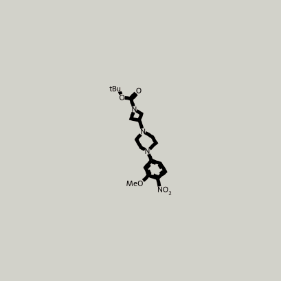 COc1cc(N2CCN(C3CN(C(=O)OC(C)(C)C)C3)CC2)ccc1[N+](=O)[O-]